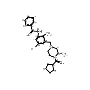 Cc1c(CN2CCN(C(=O)C3CCCC3)[C@@H](C)C2)cc(F)cc1NC(=O)c1ccccn1